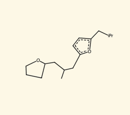 CC(C)Cc1ccc(CC(C)CC2CCCO2)o1